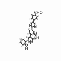 O=Cc1ccc(-c2cnc(N3CCN4c5cc(-c6ccccc6O)nnc5NC[C@H]4C3)nc2)cc1